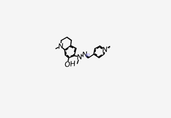 CN1CCCc2cc(N(C)/N=C/c3cc[n+](C)cc3)c(O)cc21